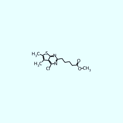 COC(=O)CCCCc1nc(Cl)c2c(C)c(C)sc2n1